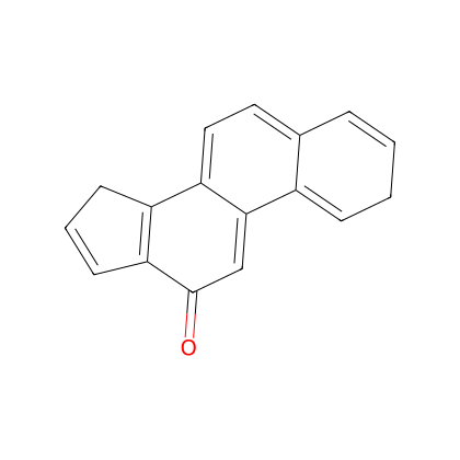 O=C1C=c2c(ccc3c2=CCC=C3)C2=C1C=CC2